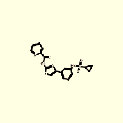 O=C(Nc1nc(-c2cccc(NS(=O)(=O)C3CC3)c2)cs1)c1ccccn1